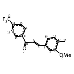 COc1cc(/C=C/C(=O)c2ccc(C(F)(F)F)nc2)ccc1C